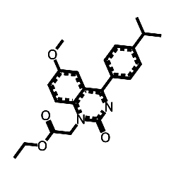 CCOC(=O)Cn1c(=O)nc(-c2ccc(C(C)C)cc2)c2cc(OC)ccc21